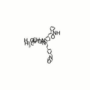 C[Si](C)(C)CCOCn1nc(C=Cc2ccc(CN3CCOCC3)cc2)c2ccc(C=C3C(=O)Nc4ccccc43)cc21